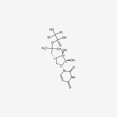 CCC(O)(CC)P(=O)(O)OC(C)(C)C[C@H]1C[C@@H](n2ccc(=O)[nH]c2=O)[C@H](O)[C@@H]1O